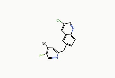 N#Cc1cc(Cc2ccc3ncc(Cl)cc3c2)ncc1F